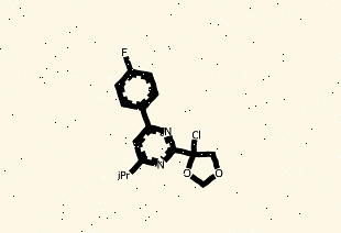 CC(C)c1cc(-c2ccc(F)cc2)nc(C2(Cl)COCO2)n1